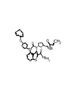 C=CC(=O)NC1CC[C@@H](N2C(=O)N(c3ccc(Oc4ccccc4)nc3)c3ccnc4sc(C(N)=O)c2c34)C1